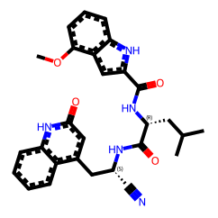 COc1cccc2[nH]c(C(=O)N[C@H](CC(C)C)C(=O)N[C@H](C#N)Cc3cc(=O)[nH]c4ccccc34)cc12